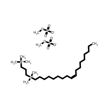 CCCCCCCC/C=C\CCCCCCCC[N+](C)(C)CCC[N+](C)(C)C.COS(=O)(=O)[O-].COS(=O)(=O)[O-]